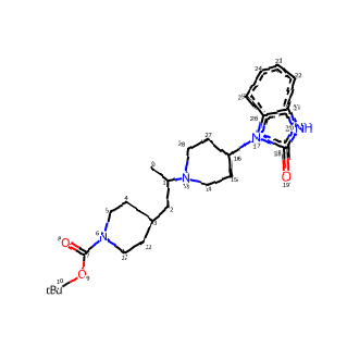 CC(CC1CCN(C(=O)OC(C)(C)C)CC1)N1CCC(n2c(=O)[nH]c3ccccc32)CC1